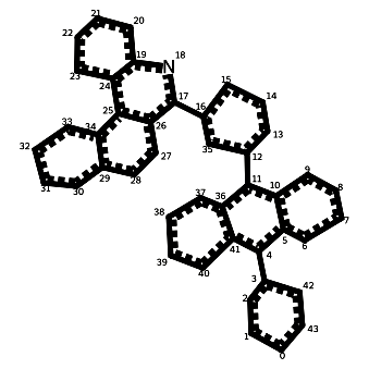 c1ccc(-c2c3ccccc3c(-c3cccc(-c4nc5ccccc5c5c4ccc4ccccc45)c3)c3ccccc23)cc1